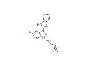 C[Si](C)(C)CCOCn1nc(-c2nc3ccccc3[nH]2)c2cc(I)ccc21